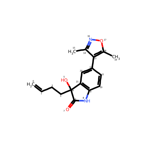 C=CCCC1(O)C(=O)Nc2ccc(-c3c(C)noc3C)cc21